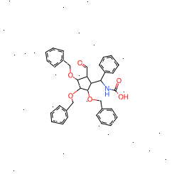 O=CC1C(OCc2ccccc2)C(OCc2ccccc2)C(OCc2ccccc2)C1C(NC(=O)O)c1ccccc1